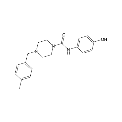 Cc1ccc(CN2CCN(C(=O)Nc3ccc(O)cc3)CC2)cc1